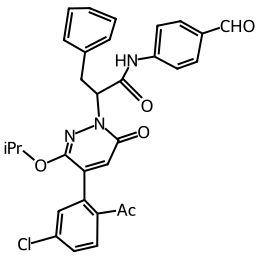 CC(=O)c1ccc(Cl)cc1-c1cc(=O)n(C(Cc2ccccc2)C(=O)Nc2ccc(C=O)cc2)nc1OC(C)C